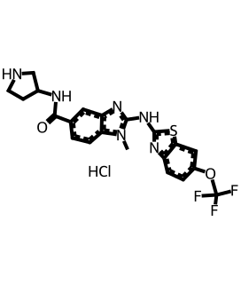 Cl.Cn1c(Nc2nc3ccc(OC(F)(F)F)cc3s2)nc2cc(C(=O)NC3CCNC3)ccc21